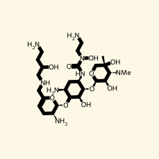 CN[C@@H]1[C@@H](O)[C@@H](O[C@H]2[C@H](NC(=O)N(O)CCN)C[C@H](N)C(O[C@H]3OC(CNCC(O)CCN)=CC[C@H]3N)[C@@H]2O)OC[C@]1(C)O